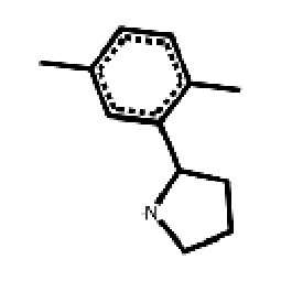 Cc1ccc(C)c(C2CCC[N]2)c1